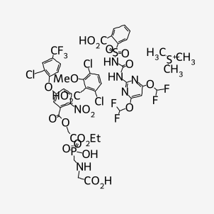 CCOC(=O)COC(=O)c1cc(Oc2ccc(C(F)(F)F)cc2Cl)ccc1[N+](=O)[O-].COc1c(Cl)ccc(Cl)c1C(=O)O.C[S+](C)C.O=C(Nc1nc(OC(F)F)cc(OC(F)F)n1)NS(=O)(=O)c1ccccc1C(=O)O.O=C(O)CNCP(=O)([O-])O